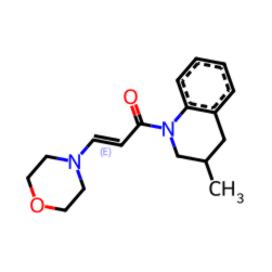 CC1Cc2ccccc2N(C(=O)/C=C/N2CCOCC2)C1